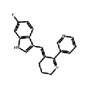 Fc1ccc2c(C=C3CCCN=C3c3cccnc3)c[nH]c2c1